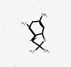 CC1=CC2OC(C)(C)C3CCC(C)C23CC1